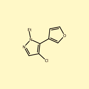 CCn1ncc(Cl)c1-c1ccoc1